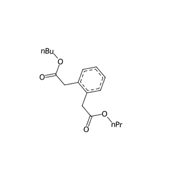 CCCCOC(=O)Cc1ccccc1CC(=O)OCCC